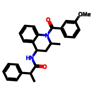 COc1cccc(C(=O)N2c3ccccc3C(NC(=O)C(C)c3ccccc3)CC2C)c1